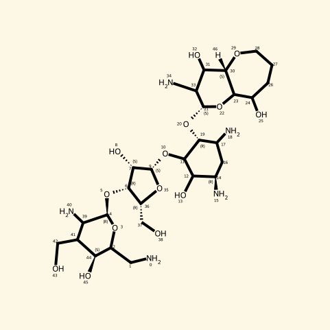 NCC1O[C@H](O[C@@H]2[C@H](O)[C@H](OC3C(O)[C@H](N)CC(N)[C@H]3O[C@H]3OC4C(O)CCCO[C@H]4C(O)C3N)O[C@@H]2CO)C(N)C(CO)[C@@H]1O